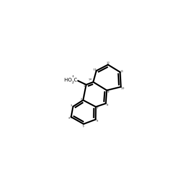 O=C(O)c1c2c[c]ccc2cc2ccccc12